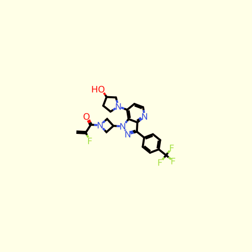 C=C(F)C(=O)N1CC(n2nc(-c3ccc(C(F)(F)F)cc3)c3nccc(N4CCC(O)C4)c32)C1